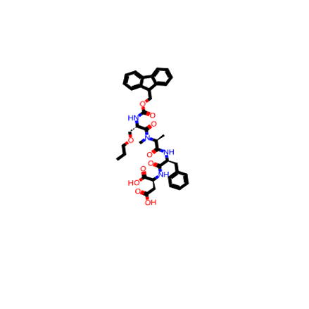 CCCOC[C@H](NC(=O)OCC1c2ccccc2-c2ccccc21)C(=O)N(C)[C@@H](C)C(=O)N[C@@H](Cc1ccccc1)C(=O)N[C@@H](CC(=O)O)C(=O)O